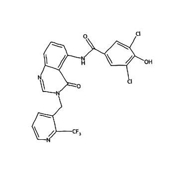 O=C(Nc1cccc2ncn(Cc3cccnc3C(F)(F)F)c(=O)c12)c1cc(Cl)c(O)c(Cl)c1